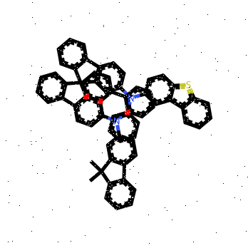 CC1(C)c2ccccc2-c2ccc(N(c3ccc4c(c3)C3(c5ccccc5-c5ccc(N(c6ccccc6)c6ccc7sc8ccccc8c7c6)cc53)c3ccccc3-4)c3ccccc3-c3ccccc3)cc21